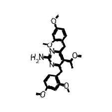 COc1ccc(Cc2nc(N)nc(Cc3ccc(OC)cc3OC)c2C(C)OC)c(OC)c1